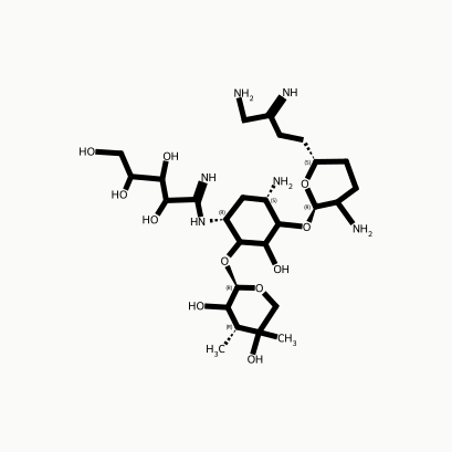 C[C@@H]1C(O)[C@@H](OC2C(O)C(O[C@H]3O[C@H](CCC(=N)CN)CCC3N)[C@@H](N)C[C@H]2NC(=N)C(O)C(O)C(O)CO)OCC1(C)O